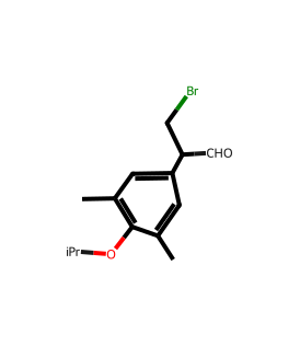 Cc1cc(C(C=O)CBr)cc(C)c1OC(C)C